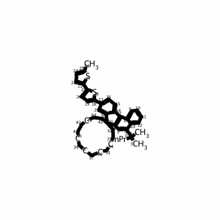 CCCC(C)(C)c1cc2c(c3ccccc13)-c1ccc(-c3ccc(-c4ccc(C)s4)s3)cc1C21CCCCCCCCCCCCCC1